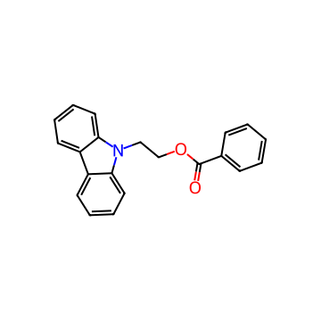 O=C(OCCn1c2ccccc2c2ccccc21)c1ccccc1